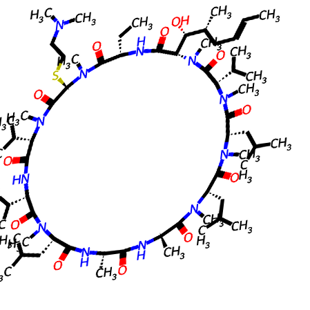 C/C=C/C[C@@H](C)[C@@H](O)[C@H]1C(=O)N[C@@H](CC)C(=O)N(C)[C@H](SCCN(C)C)C(=O)N(C)[C@@H](C(C)C)C(=O)N[C@@H](C(C)C)C(=O)N(C)[C@@H](CC(C)C)C(=O)N[C@@H](C)C(=O)N[C@H](C)C(=O)N(C)[C@@H](CC(C)C)C(=O)N(C)[C@@H](CC(C)C)C(=O)N(C)[C@@H](C(C)C)C(=O)N1C